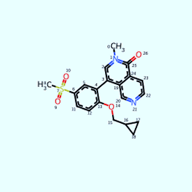 Cn1cc(-c2cc(S(C)(=O)=O)ccc2OCC2CC2)c2cnccc2c1=O